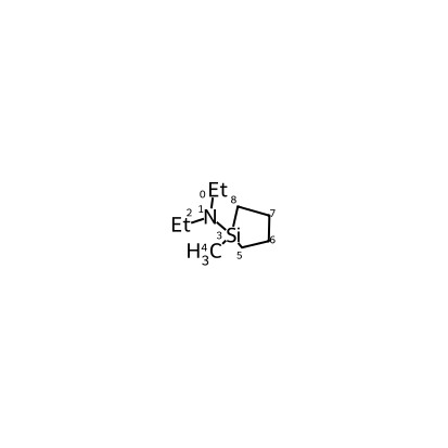 CCN(CC)[Si]1(C)CCCC1